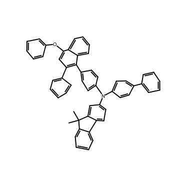 CC1(C)c2ccccc2-c2ccc(N(c3ccc(-c4ccccc4)cc3)c3ccc(-c4c(-c5ccccc5)cc(Oc5ccccc5)c5ccccc45)cc3)cc21